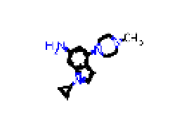 CN1CCN(c2cc(N)cc3c2ccn3C2CC2)CC1